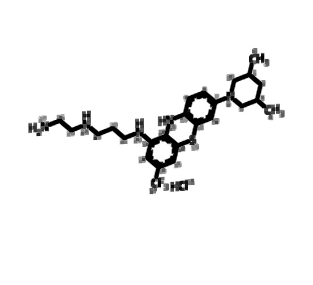 CC1CC(C)CN(c2ccc3c(c2)Sc2cc(C(F)(F)F)cc(NCCCNCCN)c2N3)C1.Cl